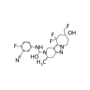 C[C@@H]1Cc2nn3c(c2CN1C(O)Nc1ccc(F)c(C#N)c1)C(F)(F)C[C@@](O)(CF)CC3